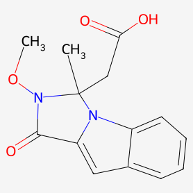 CON1C(=O)c2cc3ccccc3n2C1(C)CC(=O)O